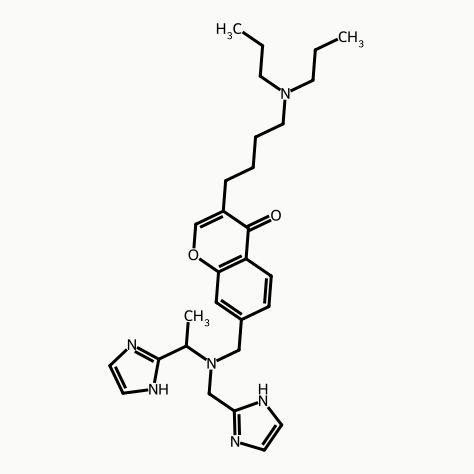 CCCN(CCC)CCCCc1coc2cc(CN(Cc3ncc[nH]3)C(C)c3ncc[nH]3)ccc2c1=O